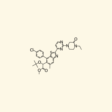 CCN1CCN(c2nccc(-c3nc4cc(C)c(C(OC(C)(C)C)C(=O)OC)c(-c5ccc(Cl)cc5)c4s3)n2)CC1=O